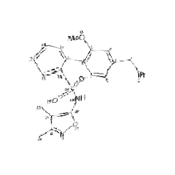 COc1cc(CC(C)C)ccc1-c1ccccc1S(=O)(=O)Nc1onc(C)c1C